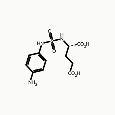 Nc1ccc(NS(=O)(=O)N[C@@H](CCC(=O)O)C(=O)O)cc1